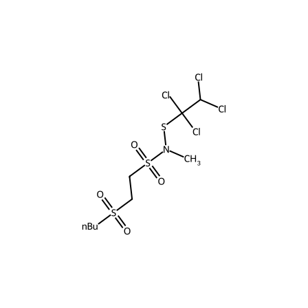 CCCCS(=O)(=O)CCS(=O)(=O)N(C)SC(Cl)(Cl)C(Cl)Cl